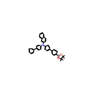 CC1(C)OB(c2ccc(-c3ccc(N(c4ccc(-c5ccccc5)cc4)c4ccc5ccccc5c4)cc3)cc2)OC1(C)C